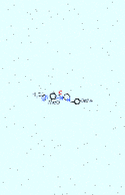 COc1ccc(CN2CCCC(NC(=O)c3ccc(-n4cnc(C)c4)c(OC)c3)C2)cc1